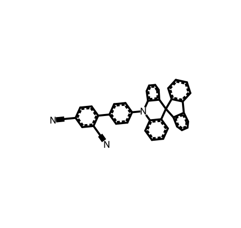 N#Cc1ccc(-c2ccc(N3c4ccccc4C4(c5ccccc5-c5ccccc54)c4ccccc43)cc2)c(C#N)c1